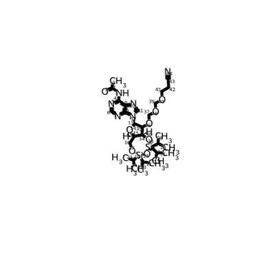 CC(=O)Nc1ncnc2c1ncn2[C@@H]1O[C@@H]2CO[Si](C(C)C)(C(C)C)O[Si](C(C)C)(C(C)C)O[C@@H]2C1OCOCOCCC#N